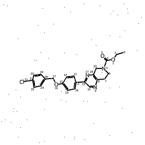 CCOC(=O)N1CCc2ncc(-c3ccc(OCc4ccc(Cl)cc4)cc3)nc2C1